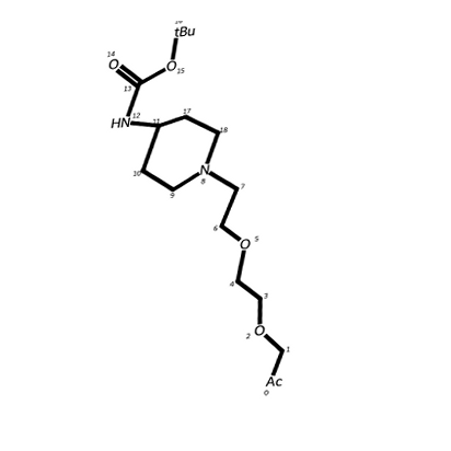 CC(=O)COCCOCCN1CCC(NC(=O)OC(C)(C)C)CC1